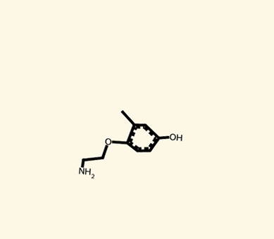 Cc1cc(O)ccc1OCCN